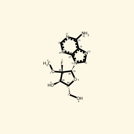 CO[C@@]1(F)[C@H](O)[C@@H](CO)O[C@H]1n1cnc2c(N)ncnc21